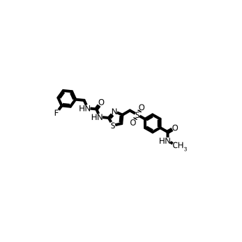 CNC(=O)c1ccc(S(=O)(=O)Cc2csc(NC(=O)NCc3cccc(F)c3)n2)cc1